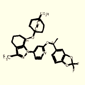 C[C@H](Oc1cc(-n2nc(C(F)(F)F)c3c2[C@H](OC24CCC(C(=O)O)(CC2)CC4)CCC3)ccn1)c1ccc2c(c1)OC(F)(F)O2